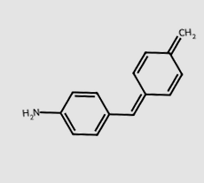 C=c1ccc(=Cc2ccc(N)cc2)cc1